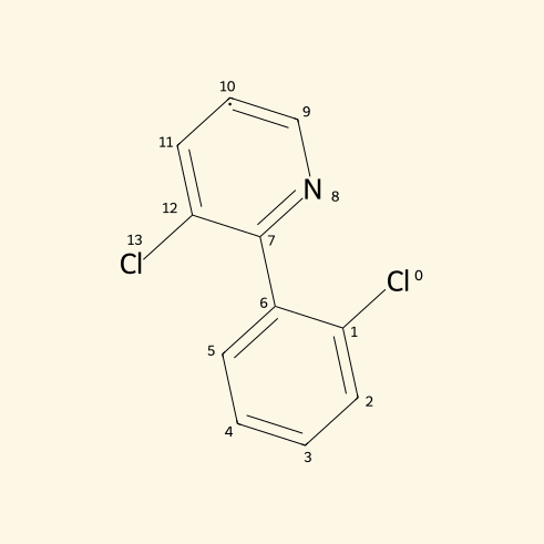 Clc1ccccc1-c1nc[c]cc1Cl